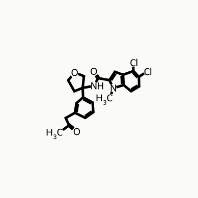 CC(=O)Cc1cccc(C2(NC(=O)c3cc4c(Cl)c(Cl)ccc4n3C)CCOC2)c1